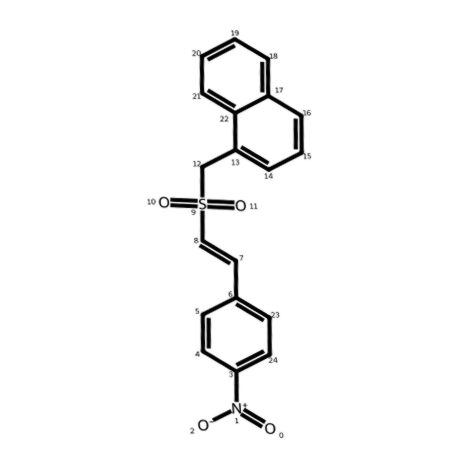 O=[N+]([O-])c1ccc(C=CS(=O)(=O)Cc2cccc3ccccc23)cc1